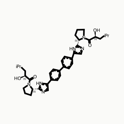 CC(C)C[C@H](O)C(=O)N1CCC[C@H]1c1ncc(-c2ccc(-c3ccc(-c4cnc([C@@H]5CCCN5C(=O)[C@@H](O)CC(C)C)[nH]4)cc3)cc2)[nH]1